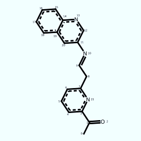 CC(=O)c1cccc(CC=Nc2cnc3ccccc3c2)n1